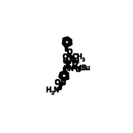 C[C@@H](NC(=O)[C@H](Cc1ccc(OC(=O)CN)cc1)NC(=O)OC(C)(C)C)C(=O)OCc1ccccc1